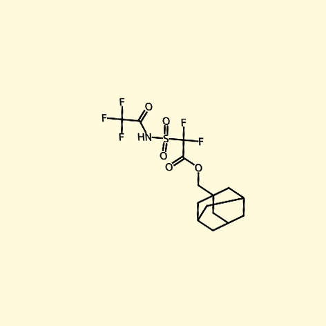 O=C(NS(=O)(=O)C(F)(F)C(=O)OCC12CC3CC(CC(C3)C1)C2)C(F)(F)F